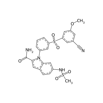 COc1cc(C#N)cc(S(=O)(=O)c2cccc(-n3c(C(N)=O)cc4ccc(NS(C)(=O)=O)cc43)c2)c1